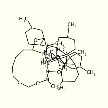 CC1CCC2C(C)(C)C2(OC2CCCCCCCN(C)N(OC34CC(C)CCC3C4(C)C)N(OC34CC(C)CCC3C4(C)C)N2OC23CC(C)CCC2C3(C)C)C1